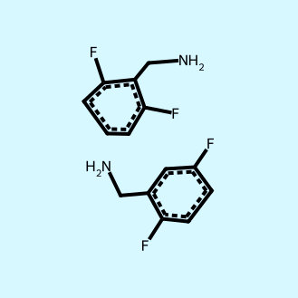 NCc1c(F)cccc1F.NCc1cc(F)ccc1F